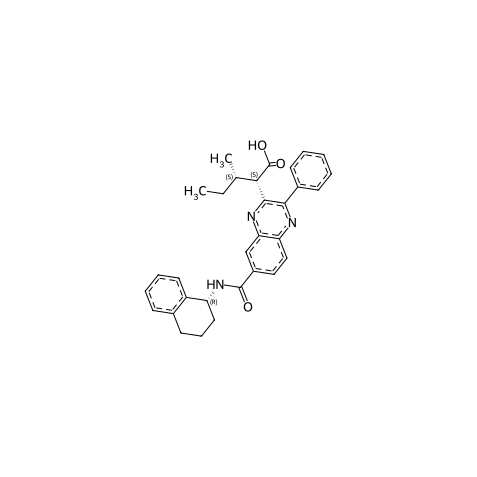 CC[C@H](C)[C@H](C(=O)O)c1nc2cc(C(=O)N[C@@H]3CCCc4ccccc43)ccc2nc1-c1ccccc1